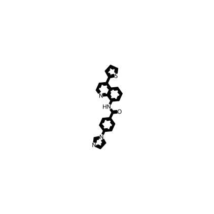 O=C(Nc1cccc2c(-c3cccs3)ccnc12)c1ccc(-n2ccnc2)cc1